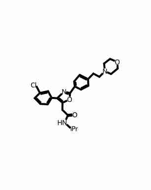 CC(C)NC(=O)Cc1oc(-c2ccc(CCN3CCOCC3)cc2)nc1-c1cccc(Cl)c1